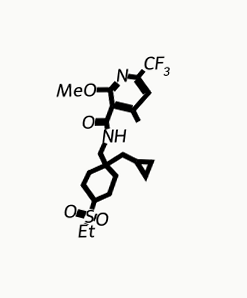 CCS(=O)(=O)C1CCC(CNC(=O)c2c(C)cc(C(F)(F)F)nc2OC)(CC2CC2)CC1